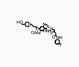 COc1cc2c(Nc3ncc(CC(=O)NC4C=CC=C(F)C4)s3)ncnc2cc1OCCCN1CCC(CO)CC1